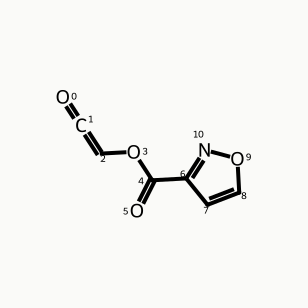 O=C=COC(=O)c1ccon1